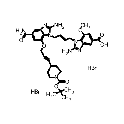 Br.Br.COc1cc(C(=O)O)cc2nc(N)n(CC=CCn3c(N)nc4cc(C(N)=O)cc(OCC#CC5CCN(C(=O)OC(C)(C)C)CC5)c43)c12